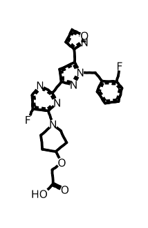 O=C(O)COC1CCN(c2nc(-c3cc(-c4ccon4)n(Cc4ccccc4F)n3)ncc2F)CC1